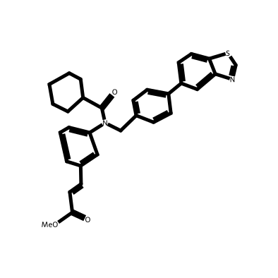 COC(=O)/C=C/c1cccc(N(Cc2ccc(-c3ccc4scnc4c3)cc2)C(=O)C2CCCCC2)c1